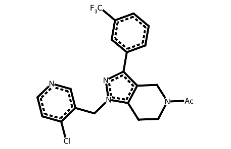 CC(=O)N1CCc2c(c(-c3cccc(C(F)(F)F)c3)nn2Cc2cnccc2Cl)C1